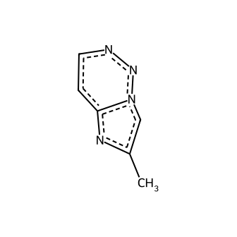 Cc1cn2nnccc2n1